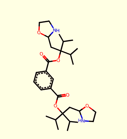 CC(C)C(CC1NCCO1)(OC(=O)c1cccc(C(=O)OC(CC2NCCO2)(C(C)C)C(C)C)c1)C(C)C